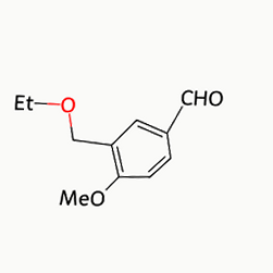 CCOCc1cc(C=O)ccc1OC